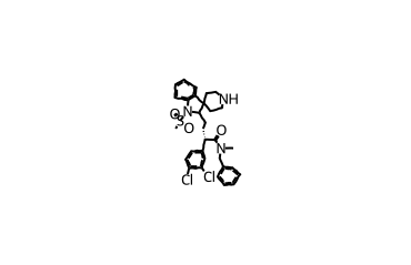 CN(Cc1ccccc1)C(=O)[C@@H](CCC1N(S(C)(=O)=O)c2ccccc2C12CCNCC2)c1ccc(Cl)c(Cl)c1